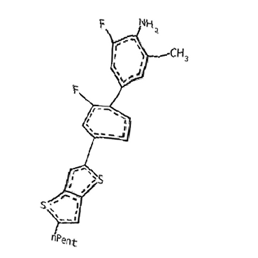 CCCCCc1cc2sc(-c3ccc(-c4cc(C)c(N)c(F)c4)c(F)c3)cc2s1